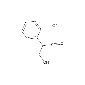 O=[C+]C(CO)c1ccccc1.[Cl-]